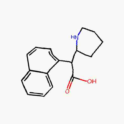 O=C(O)C(c1cccc2ccccc12)C1CCCCN1